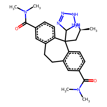 C[C@H](N)CC1(C2N=NNN2)c2ccc(C(=O)N(C)C)cc2CCc2cc(C(=O)N(C)C)ccc21